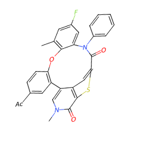 CC(=O)c1ccc2c(c1)-c1cn(C)c(=O)c3sc(cc13)C(=O)N(c1ccccc1)c1cc(F)cc(C)c1O2